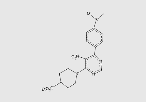 CCOC(=O)C1CCN(c2ncnc(-c3ccc([S+](C)[O-])cc3)c2[N+](=O)[O-])CC1